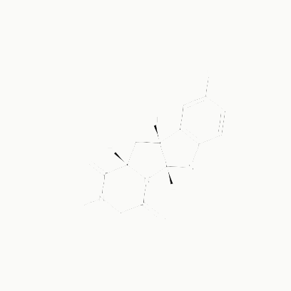 Cc1ccc2c(c1)[C@@]1(C)C[C@H]3C(=O)N(C)CC(=O)N3[C@H]1N2